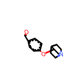 O=Cc1ccc(OC2CN3CCC2CC3)cc1